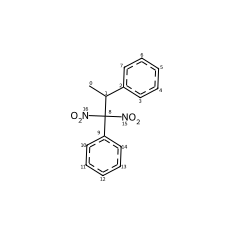 CC(c1ccccc1)C(c1ccccc1)([N+](=O)[O-])[N+](=O)[O-]